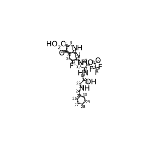 O=C(O)C(F)(F)F.O=C(O)c1c[nH]c2nc(N3CCC(NCC(O)CNCc4ccccc4)C3)c(F)cc2c1=O